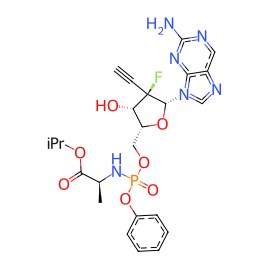 C#C[C@@]1(F)[C@@H](O)[C@@H](COP(=O)(N[C@@H](C)C(=O)OC(C)C)Oc2ccccc2)O[C@H]1n1cnc2cnc(N)nc21